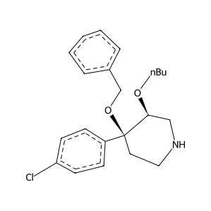 CCCCO[C@H]1CNCC[C@]1(OCc1ccccc1)c1ccc(Cl)cc1